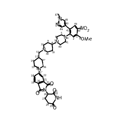 COc1cc(N2CCN(C3CCN(CC4CCN(c5ccc6c(c5)C(=O)N(C5CCC(=O)NC5=O)C6=O)CC4)CC3)CC2)c(-c2cnn(C)c2)cc1[N+](=O)[O-]